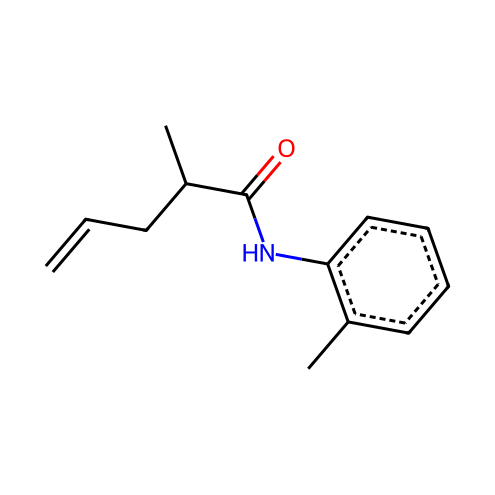 C=CCC(C)C(=O)Nc1ccccc1C